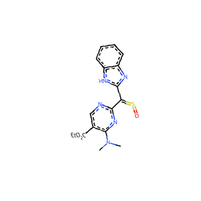 CCOC(=O)c1cnc(C(=S=O)c2nc3ccccc3[nH]2)nc1N(C)C